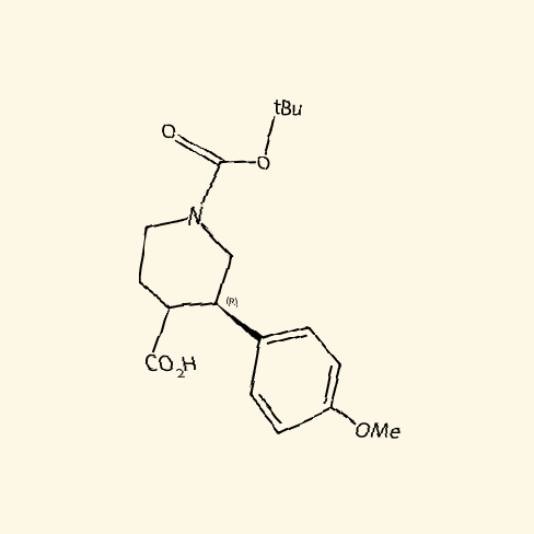 COc1ccc([C@@H]2CN(C(=O)OC(C)(C)C)CCC2C(=O)O)cc1